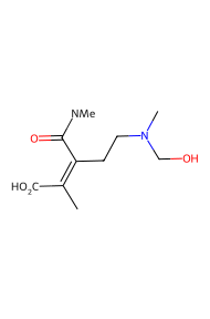 CNC(=O)/C(CCN(C)CO)=C(/C)C(=O)O